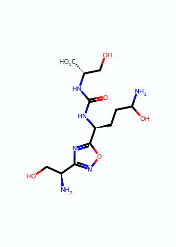 NC(O)CC[C@H](NC(=O)N[C@@H](CO)C(=O)O)c1nc([C@@H](N)CO)no1